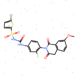 COc1ccc2c(c1)C(=O)N(c1ccc(NC(=O)NS(=O)(=O)c3ccc(Cl)s3)cc1F)C(=O)C2